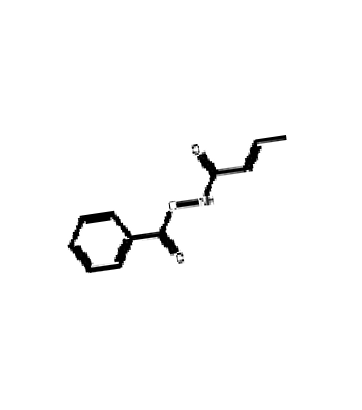 CC=CC(=O)NOC(=O)c1ccccc1